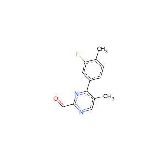 Cc1ccc(-c2nc(C=O)ncc2C)cc1F